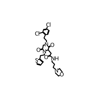 O=C(CC1C(=O)N(CCc2ccc(Cl)cc2Cl)CC(=O)N1CCc1cccs1)NCCCN1CCOCC1